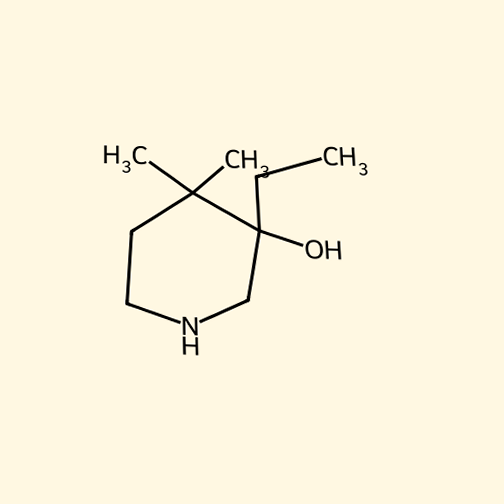 CCC1(O)CNCCC1(C)C